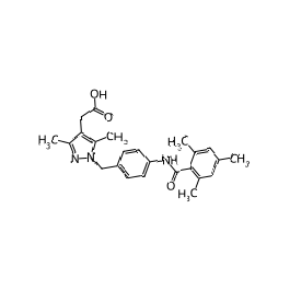 Cc1cc(C)c(C(=O)Nc2ccc(Cn3nc(C)c(CC(=O)O)c3C)cc2)c(C)c1